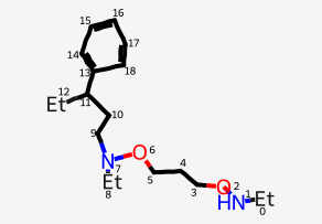 CCNOCCCON(CC)CCC(CC)c1ccccc1